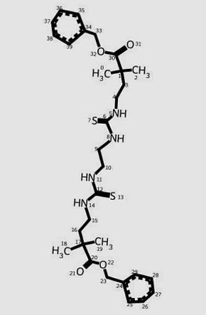 CC(C)(CCNC(=S)NCCNC(=S)NCCC(C)(C)C(=O)OCc1ccccc1)C(=O)OCc1ccccc1